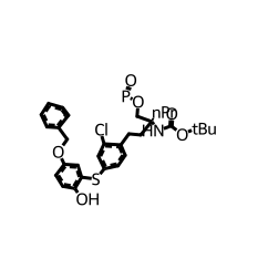 CCC[C@](CCc1ccc(Sc2cc(OCc3ccccc3)ccc2O)cc1Cl)(COP=O)NC(=O)OC(C)(C)C